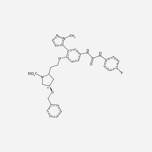 CCOC(=O)N1C[C@H](OCc2ccccc2)CC1CCOc1ccc(NC(=O)Nc2ccc(F)cc2)cc1-c1ccnn1C